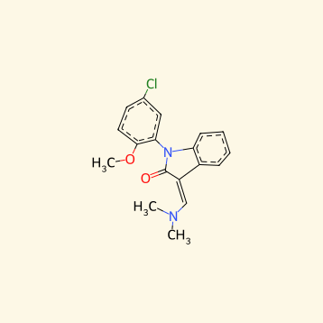 COc1ccc(Cl)cc1N1C(=O)/C(=C\N(C)C)c2ccccc21